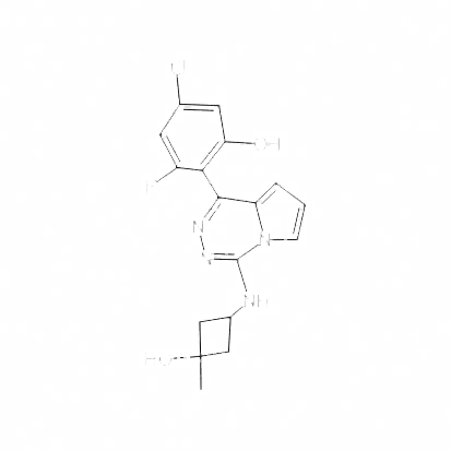 CC1(O)CC(Nc2nnc(-c3c(O)cc(Cl)cc3F)c3cccn23)C1